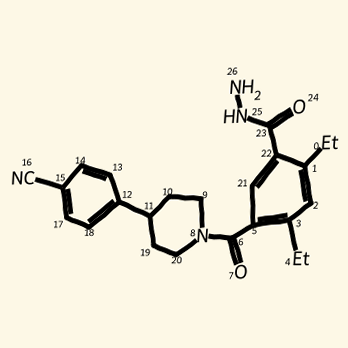 CCc1cc(CC)c(C(=O)N2CCC(c3ccc(C#N)cc3)CC2)cc1C(=O)NN